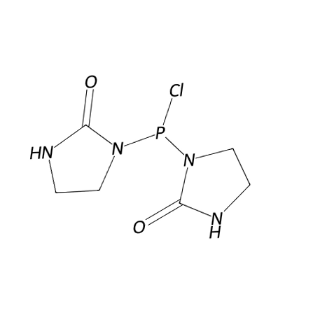 O=C1NCCN1P(Cl)N1CCNC1=O